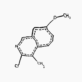 COc1ccc2c(C)c(Cl)ncc2c1